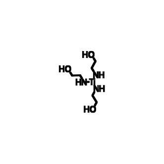 OCC[NH][Ti]([NH]CCO)[NH]CCO